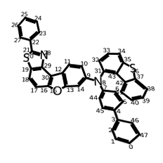 c1ccc(-c2ccc(N(c3ccc4c(c3)oc3ccc5sc(-c6ccccc6)nc5c34)c3cccc4sc5ccccc5c34)cc2)cc1